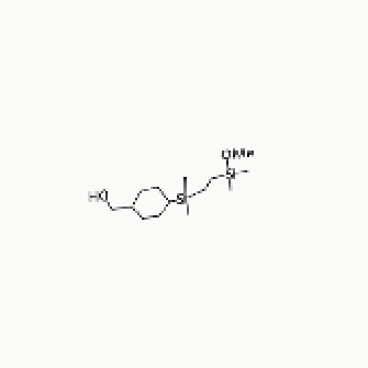 CO[Si](C)(C)CC[Si](C)(C)C1CCC(CO)CC1